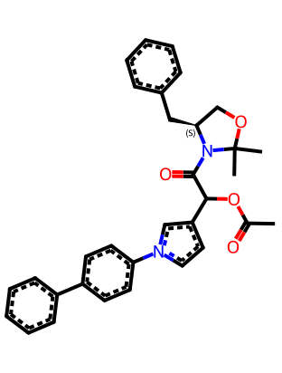 CC(=O)OC(C(=O)N1[C@@H](Cc2ccccc2)COC1(C)C)c1ccn(-c2ccc(-c3ccccc3)cc2)c1